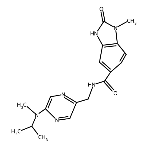 CC(C)N(C)c1cnc(CNC(=O)c2ccc3c(c2)[nH]c(=O)n3C)cn1